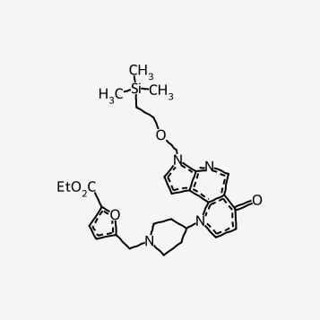 CCOC(=O)c1ccc(CN2CCC(n3ccc(=O)c4cnc5c(ccn5COCC[Si](C)(C)C)c43)CC2)o1